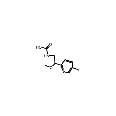 COC(CNC(=O)O)c1ccc(F)cn1